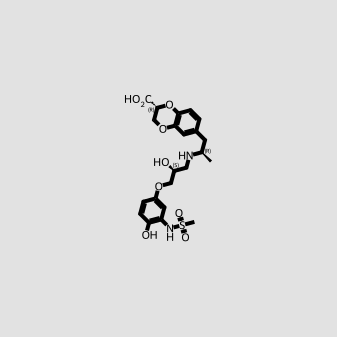 C[C@H](Cc1ccc2c(c1)OC[C@H](C(=O)O)O2)NC[C@H](O)COc1ccc(O)c(NS(C)(=O)=O)c1